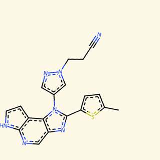 Cc1ccc(-c2nc3cnc4[nH]ccc4c3n2-c2cnn(CCC#N)c2)s1